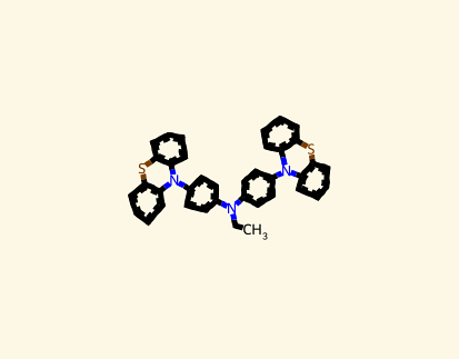 CCN(c1ccc(N2c3ccccc3Sc3ccccc32)cc1)c1ccc(N2c3ccccc3Sc3ccccc32)cc1